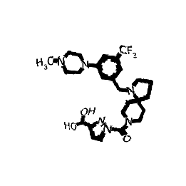 CN1CCN(c2cc(CN3CCCC34CCN(C(=O)n3ccc(C(O)O)n3)CC4)cc(C(F)(F)F)c2)CC1